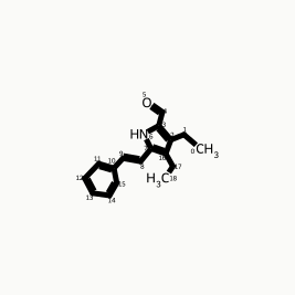 CCc1c(C=O)[nH]c(C=Cc2ccccc2)c1CC